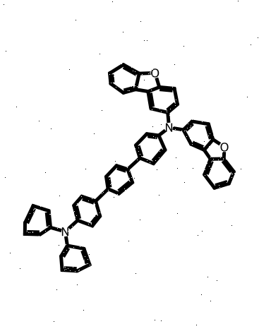 c1ccc(N(c2ccccc2)c2ccc(-c3ccc(-c4ccc(N(c5ccc6oc7ccccc7c6c5)c5ccc6oc7ccccc7c6c5)cc4)cc3)cc2)cc1